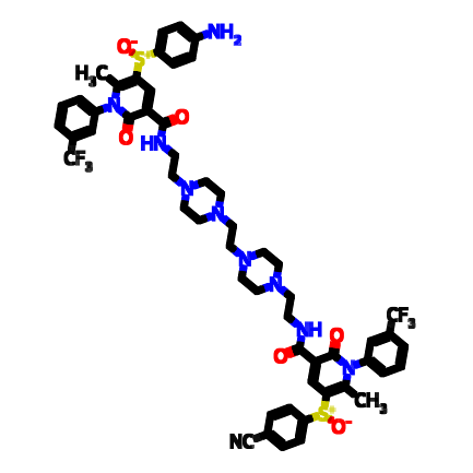 Cc1c([S+]([O-])c2ccc(N)cc2)cc(C(=O)NCCN2CCN(CCN3CCN(CCNC(=O)c4cc([S+]([O-])c5ccc(C#N)cc5)c(C)n(-c5cccc(C(F)(F)F)c5)c4=O)CC3)CC2)c(=O)n1-c1cccc(C(F)(F)F)c1